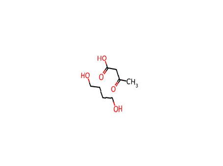 CC(=O)CC(=O)O.OCCCCO